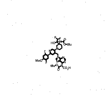 COc1cc(F)c(-c2cc(Cn3cnc4c(N(C(=O)O)C(=O)OC(C)(C)C)ncnc43)c(N3CCCC(NC(=O)OC(C)(C)C)(C(O)C(F)F)C3)cn2)cc1F